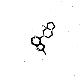 Cc1cc2c(N3CCN4CCC[C@H]4C3)nccc2s1